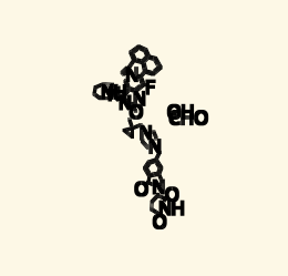 C#Cc1cccc2cccc(-c3ncc4c(N5CC6CCC(C5)N6)nc(OCC5(CN6CCN(Cc7ccc8c(c7)CN(C7CCC(=O)NC7=O)C8=O)CC6)CC5)nc4c3F)c12.O=CO